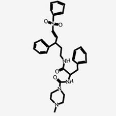 CN1CCN(C(=O)NC(Cc2ccccc2)C(=O)NCCC(C=CS(=O)(=O)c2ccccc2)c2ccccc2)CC1